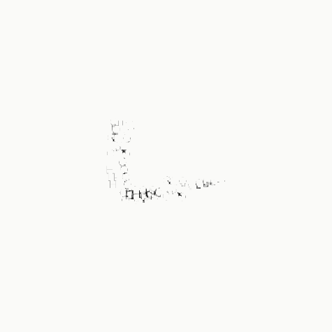 O.O.O.O.O.O=C([O-])[O-].O=C([O-])[O-].O=S(=O)([O-])[O-].O=S(=O)([O-])[O-].[Cu+2].[Cu+2].[Cu+2].[Cu+2].[Cu+2].[OH-].[OH-]